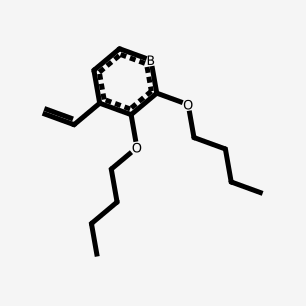 C=Cc1ccbc(OCCCC)c1OCCCC